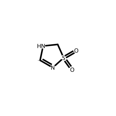 O=S1(=O)CN[C]=N1